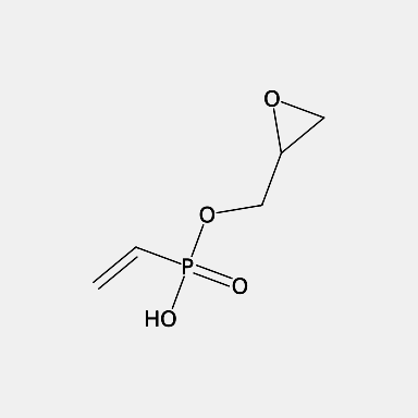 C=CP(=O)(O)OCC1CO1